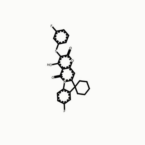 O=c1oc2cc3n(c(=O)c2c(O)c1Sc1cccc(F)c1)-c1ccc(F)cc1C31CCCCC1